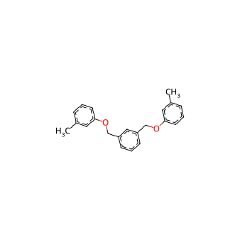 Cc1cccc(OCc2cccc(COc3cccc(C)c3)c2)c1